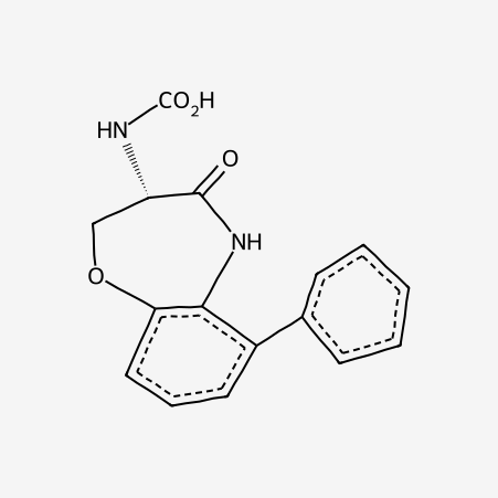 O=C(O)N[C@H]1COc2cccc(-c3ccccc3)c2NC1=O